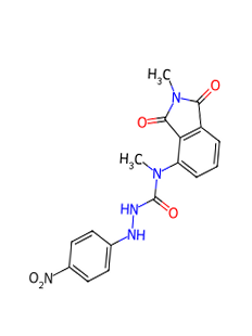 CN1C(=O)c2cccc(N(C)C(=O)NNc3ccc([N+](=O)[O-])cc3)c2C1=O